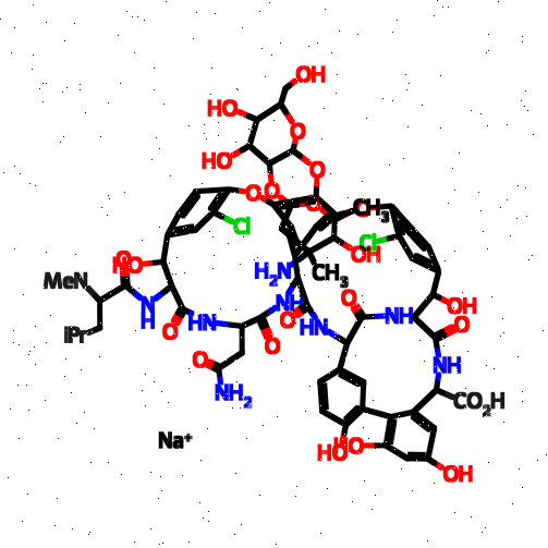 CNC(CC(C)C)C(=O)NC1C(=O)NC(CC(N)=O)C(=O)NC2C(=O)NC3C(=O)NC(C(=O)NC(C(=O)O)c4cc(O)cc(O)c4-c4cc3ccc4O)C(O)c3ccc(c(Cl)c3)Oc3cc2cc(c3OC2OC(CO)C(O)C(O)C2OC2CC(C)(N)C(O)C(C)O2)Oc2ccc(cc2Cl)C1O.[Na+]